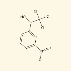 O=[N+]([O-])c1cccc(C(O)C(Cl)(Cl)Cl)c1